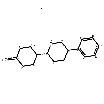 O=C1CCC(C2CCC(c3ccccc3)CO2)CC1